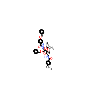 Cc1ccc(C(=O)NC[C@H]2O[C@@H](OCc3ccccc3)[C@]3(CNC(=O)c4ccc(OCc5ccccc5)cc4)OC(C)(C)O[C@H]23)cc1